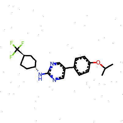 CC(C)Oc1ccc(-c2cnc(N[C@H]3CC[C@H](C(F)(F)F)CC3)nc2)cc1